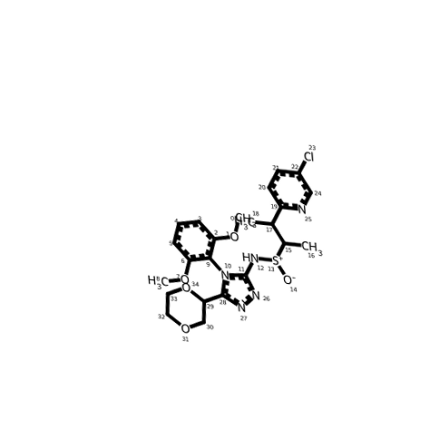 COc1cccc(OC)c1-n1c(N[S+]([O-])C(C)C(C)c2ccc(Cl)cn2)nnc1C1COCCO1